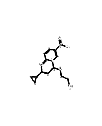 O=[N+]([O-])C1=CN2C(=NC(C3CC3)CC2OCCO)C=C1